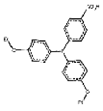 CCOc1ccc(P(c2ccc(OCC)cc2)c2ccc(S(=O)(=O)O)cc2)cc1